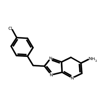 NC1=CN=C2N=C(Cc3ccc(Cl)cc3)N=C2C1